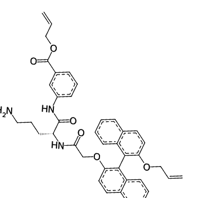 C=CCOC(=O)c1cccc(NC(=O)[C@@H](CCCN)NC(=O)COc2ccc3ccccc3c2-c2c(OCC=C)ccc3ccccc23)c1